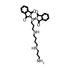 NCCCNCCCCNCCCN(N1C(=O)c2ccccc2C1=O)N1C(=O)c2ccccc2C1=O